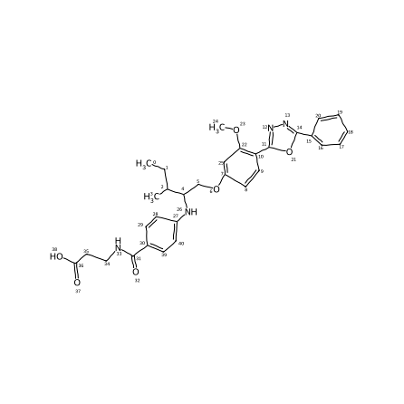 CCC(C)C(COc1ccc(-c2nnc(-c3ccccc3)o2)c(OC)c1)Nc1ccc(C(=O)NCCC(=O)O)cc1